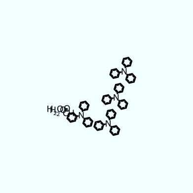 C=O.O.O.c1ccc(N(c2ccccc2)c2ccccc2)cc1.c1ccc(N(c2ccccc2)c2ccccc2)cc1.c1ccc(N(c2ccccc2)c2ccccc2)cc1.c1ccc(N(c2ccccc2)c2ccccc2)cc1